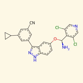 N#Cc1cc(-c2n[nH]c3ccc(O[C@H](N)c4c(Cl)cncc4Cl)cc23)cc(C2CC2)c1